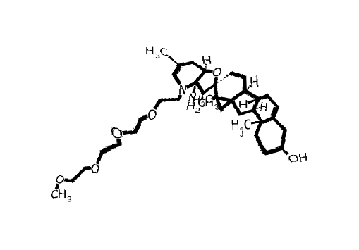 COCCOCCOCCOCCN1C[C@@H](C)C[C@H]2O[C@]3(CC[C@H]4[C@@H]5CC=C6C[C@@H](O)CC[C@]6(C)[C@H]5CC45CC53C)[C@H](C)[C@@]21N